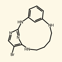 Brc1cnc2nc1NCCCCNc1cccc(c1)N2